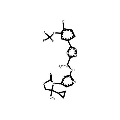 C[C@@H](Nc1nccc(N2C(=O)OCC2(C)C2CC2)n1)c1nc(-c2ccc(Cl)c(OC(F)(F)F)c2)no1